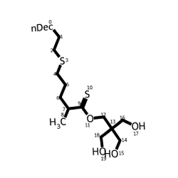 CCCCCCCCCCCCSCCCC(C)C(=S)OCC(CO)(CO)CO